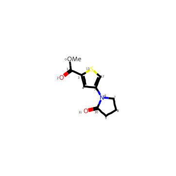 COC(=O)c1cc(N2CCCC2=O)cs1